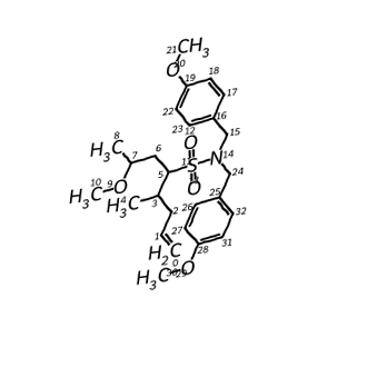 C=CCC(C)C(CC(C)OC)S(=O)(=O)N(Cc1ccc(OC)cc1)Cc1ccc(OC)cc1